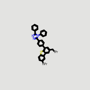 CCCc1ccc2sc3c(-c4ccc(-c5nnc(-c6ccccc6)n5-c5ccccc5)cc4)cc(CC(C)C)cc3c2c1